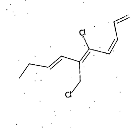 C=C\C=C/C(Cl)=C(/C=C/CC)CCl